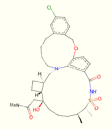 CNC(=O)C[C@@]1(O)CCC[C@H](C)[C@@H](C)S(=O)(=O)NC(=O)c2ccc3c(c2)N(CCCCc2cc(Cl)ccc2CO3)C[C@@H]2CC[C@H]21